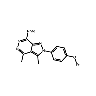 CCOc1ccc(-n2nc3c(NC)nnc(C)c3c2C)cc1